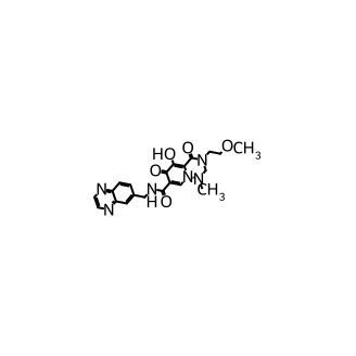 COCCN1CN(C)n2cc(C(=O)NCc3ccc4nccnc4c3)c(=O)c(O)c2C1=O